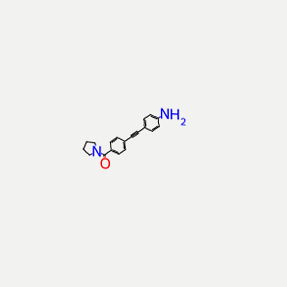 Nc1ccc(C#Cc2ccc(C(=O)N3CCCC3)cc2)cc1